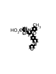 Cc1ccc(OCc2ccc3c(c2)CCN(CC2CCCOC2)C3)c(-c2cccc(-n3ncc(C(=O)O)c3C(F)(F)F)n2)c1